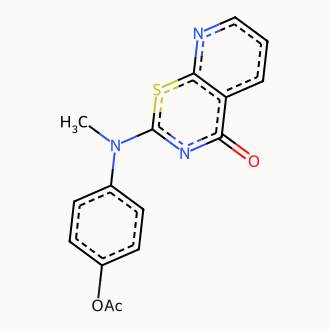 CC(=O)Oc1ccc(N(C)c2nc(=O)c3cccnc3s2)cc1